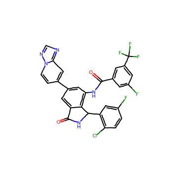 O=C(Nc1cc(-c2ccn3ncnc3c2)cc2c1C(c1cc(F)ccc1Cl)NC2=O)c1cc(F)cc(C(F)(F)F)c1